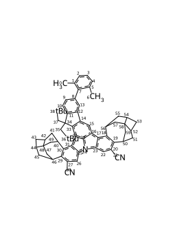 Cc1cccc(C)c1-c1ccc2c(c1)-c1cc3c4c5c(c(C#N)cc4n4c6cc(C#N)c7c(c6c(c1C2(CC(C)(C)C)CC(C)(C)C)c34)C1CC2CC3CC7CC32C1)C1CC2CC3CC5CC23C1